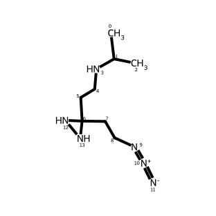 CC(C)NCCC1(CCN=[N+]=[N-])NN1